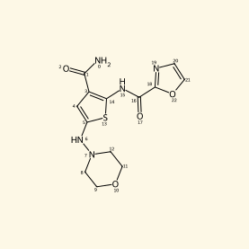 NC(=O)c1cc(NN2CCOCC2)sc1NC(=O)c1ncco1